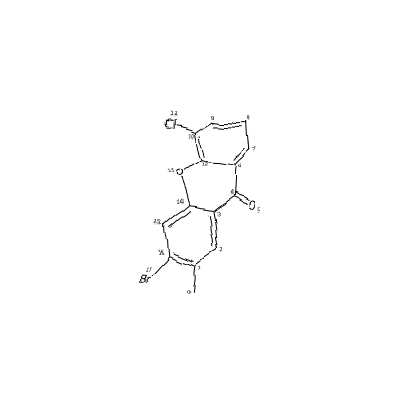 Cc1cc2c(=O)c3cccc(Cl)c3oc2cc1Br